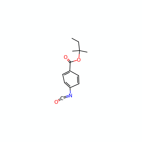 CCC(C)(C)OC(=O)c1ccc(N=C=O)cc1